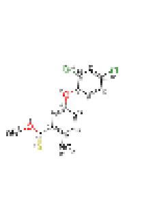 CCCOC(=S)c1cc(Oc2ccc(Cl)cc2Cl)ccc1[N+](=O)[O-]